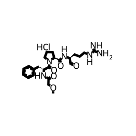 COCC(=O)N[C@H](Cc1ccccc1)C(=O)N1CCC[C@H]1C(=O)N[C@H](C=O)CCCNC(=N)N.Cl